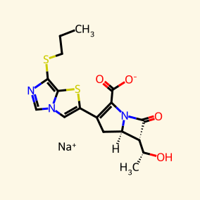 CCCSc1ncn2cc(C3=C(C(=O)[O-])N4C(=O)[C@H]([C@@H](C)O)[C@H]4C3)sc12.[Na+]